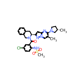 Cc1cn2nc([C@@H]3Cc4ccccc4CN3C(=O)c3cc(Cl)ccc3NS(C)(=O)=O)cc2nc1N1CC[C@H](C)C1